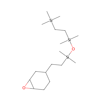 C[Si](C)(C)CC[Si](C)(C)O[Si](C)(C)CCC1CCC2OC2C1